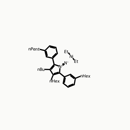 CCCCCCC1=C(c2cccc(CCCCCC)c2)[N+](=[N-])C(c2cccc(CCCCC)c2)=C1CCCC.C[CH2][Ni][CH2]C